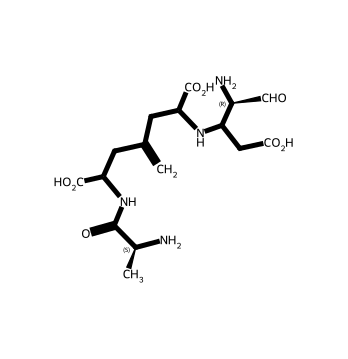 C=C(CC(NC(=O)[C@H](C)N)C(=O)O)CC(NC(CC(=O)O)[C@@H](N)C=O)C(=O)O